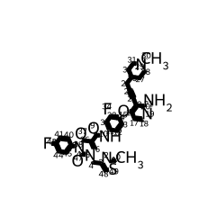 Cc1nc(Cn2cc(C(=O)Nc3ccc(Oc4ccnc(N)c4C#CCC4CCN(C)CC4)c(F)c3)c(=O)n(-c3ccc(F)cc3)c2=O)cs1